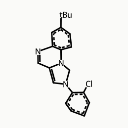 CC(C)(C)c1ccc2c(c1)N=CC1=CN(c3ccccc3Cl)CN12